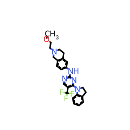 COCCN1CCc2cc(Nc3ncc(C(F)(F)F)c(N4CCc5ccccc54)n3)ccc2C1